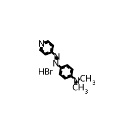 Br.CN(C)c1ccc(/N=N/c2ccncc2)cc1